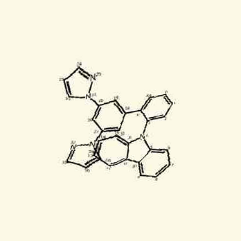 c1ccc(-n2c3ccccc3c3ccccc32)c(-c2cc(-n3cccn3)cc(-n3cccn3)c2)c1